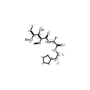 C=N/C(C(=O)N[C@@H](C)C(=O)O[C@H](C)[C@H](C)C1CCCC1)=C(O)\C(=C/C)OC